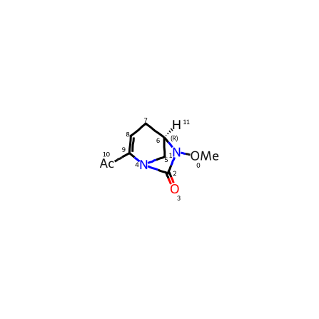 CON1C(=O)N2C[C@H]1CC=C2C(C)=O